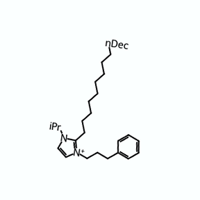 CCCCCCCCCCCCCCCCCCCc1n(C(C)C)cc[n+]1CCCc1ccccc1